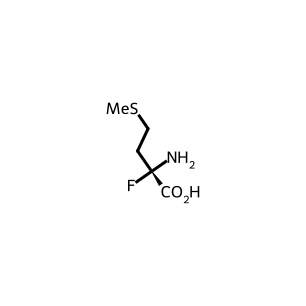 CSCC[C@](N)(F)C(=O)O